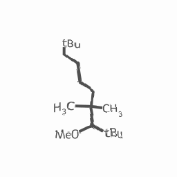 COC(C(C)(C)C)C(C)(C)CCCCC(C)(C)C